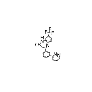 O=C1CC(c2cccc(-c3cccnn3)c2)=Nc2ccc(C(F)(F)F)cc2N1